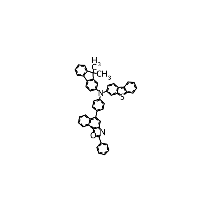 CC1(C)c2ccccc2-c2ccc(N(c3ccc(-c4cc5nc(-c6ccccc6)oc5c5ccccc45)cc3)c3ccc4c(c3)sc3ccccc34)cc21